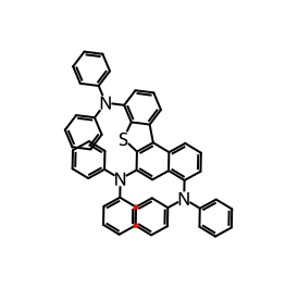 c1ccc(N(c2ccccc2)c2cccc3c2cc(N(c2ccccc2)c2ccccc2)c2sc4c(N(c5ccccc5)c5ccccc5)cccc4c23)cc1